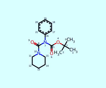 CC(C)(C)OC(=O)N(C(=O)N1CCCCC1)c1cc[c]cc1